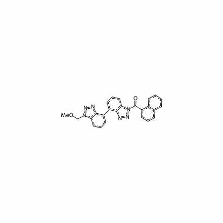 COCn1nnc2c(-c3cccc4c3nnn4C(=O)c3cccc4ccccc34)cccc21